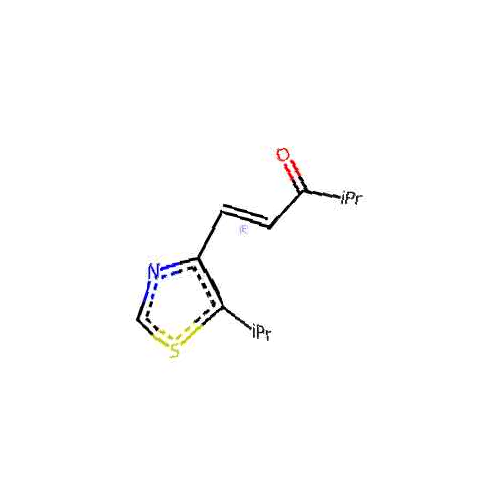 CC(C)C(=O)/C=C/c1ncsc1C(C)C